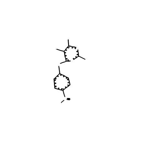 O=[N+]([O-])c1ccc(Oc2nc(Cl)nc(Cl)c2Cl)cc1